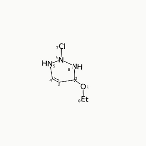 CCO[C]1C=CNN(Cl)N1